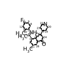 Cc1cc(C(C)Nc2ccc(F)cc2C)c2oc(-c3ccncc3)cc(=O)c2c1